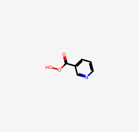 O=C(OO)c1cccnc1